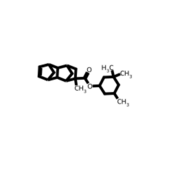 CC1CC(OC(=O)C2(C)CC3CC2C2C4C=CC(C4)C32)CC(C)(C)C1